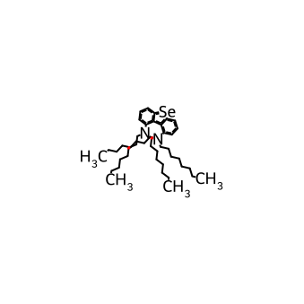 CCCCCCCCN(CCCCCCCC)c1cccc2[se]c3cccc(N(CCCCCCCC)CCCCCCCC)c3c12